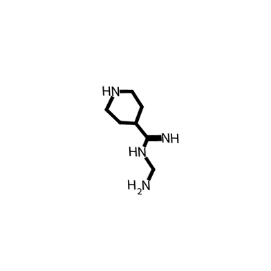 N=C(NCN)C1CCNCC1